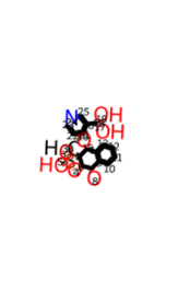 CC1(S(=O)(=O)O)CC(=O)c2ccccc2C1=O.OC(O)c1cccnc1